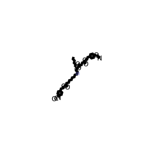 CCCCCC[C@H](C/C=C\CCCCCCCC(=O)OCCc1ccc(N=C=O)cc1)OC(=O)CCC(=O)OCCc1ccc(OC#N)cc1